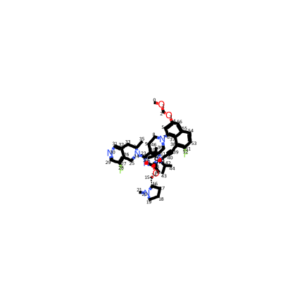 COCOc1cc(N2CCc3c(nc(OC[C@@H]4CCCN4C)nc3N3Cc4c(F)cncc4CC3C)C2)c2c(C#C[Si](C(C)C)(C(C)C)C(C)C)c(F)ccc2c1